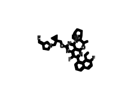 CCc1c(F)ccc2cccc(-c3nc4c5c(nc(OCC6(CN7CCC(=CF)C7)CC6)nc5c3F)N3CC5CCC(N5)C3C(C)O4)c12